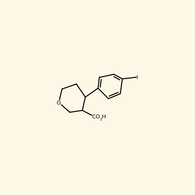 O=C(O)C1COCCC1c1ccc(I)cc1